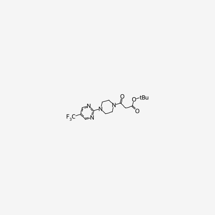 CC(C)(C)OC(=O)CC(=O)N1CCN(c2ncc(C(F)(F)F)cn2)CC1